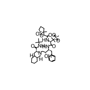 CC(C)(C)NC(=O)[C@@H]1C[C@@H]2CCCC[C@@H]2CN1C[C@@H](O)[C@H](Cc1ccccc1)NC(=O)[C@@H](NC(=O)CC1(C)CCCS1(=O)=O)C(C)(C)S(C)(=O)=O